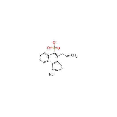 C=CCC(=C(c1ccccc1)S(=O)(=O)[O-])c1ccccc1.[Na+]